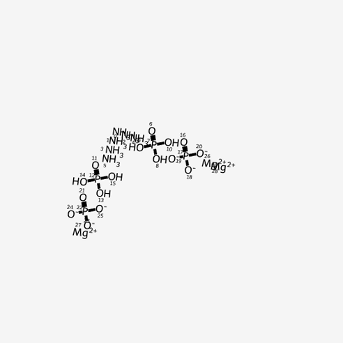 N.N.N.N.N.N.O=P(O)(O)O.O=P(O)(O)O.O=P([O-])([O-])[O-].O=P([O-])([O-])[O-].[Mg+2].[Mg+2].[Mg+2]